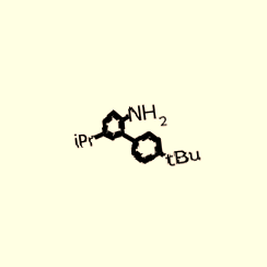 CC(C)c1ccc(N)c(-c2ccc(C(C)(C)C)cc2)c1